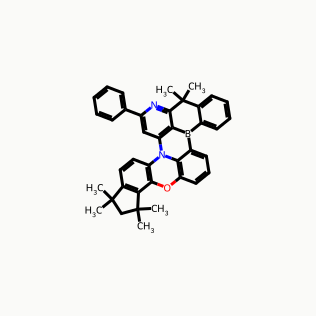 CC1(C)CC(C)(C)c2c1ccc1c2Oc2cccc3c2N1c1cc(-c2ccccc2)nc2c1B3c1ccccc1C2(C)C